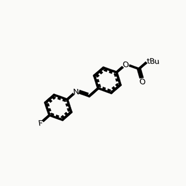 CC(C)(C)C(=O)Oc1ccc(C=Nc2ccc(F)cc2)cc1